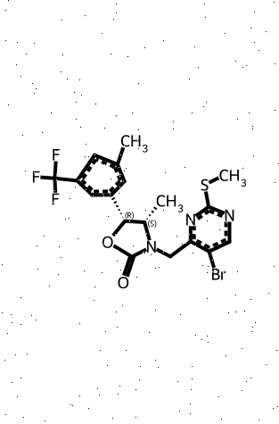 CSc1ncc(Br)c(CN2C(=O)O[C@H](c3cc(C)cc(C(F)(F)F)c3)[C@@H]2C)n1